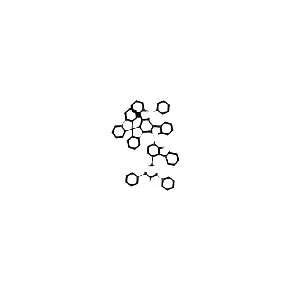 N#Cc1c(-c2ccccc2)nc(-c2ccc(-n3c4ccccc4c4c3c3c(c5c6ccccc6n(-c6ccccc6)c54)C4(c5ccccc5-c5ccccc54)c4ccccc4-3)c3oc4ccccc4c23)nc1-c1ccccc1